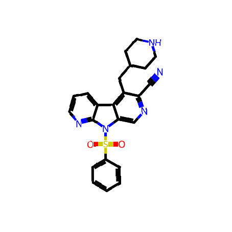 N#Cc1ncc2c(c1CC1CCNCC1)c1cccnc1n2S(=O)(=O)c1ccccc1